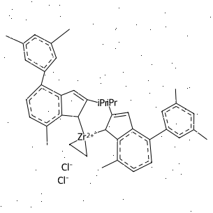 Cc1cc(C)cc(-c2ccc(C)c3c2C=C(C(C)C)[CH]3[Zr+2]2([CH]3C(C(C)C)=Cc4c(-c5cc(C)cc(C)c5)ccc(C)c43)[CH2][CH2]2)c1.[Cl-].[Cl-]